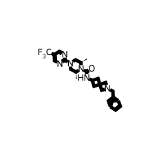 C[C@@H]1CN(c2ncc(C(F)(F)F)cn2)C[C@H](C)N1C(=O)NC1CC2(C1)CN(CC1CC3C=CC1C3)C2